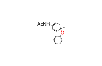 CC(=O)NC1=CCC(C)(Oc2ccccc2)C=C1